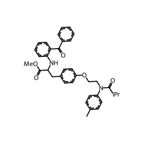 COC(=O)C(Cc1ccc(OCCN(C(=O)C(C)C)c2ccc(C)cc2)cc1)Nc1ccccc1C(=O)c1ccccc1